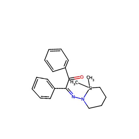 C[Si]1(C)CCCCN1N=C(C(=O)c1ccccc1)c1ccccc1